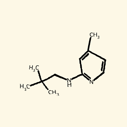 Cc1ccnc(NCC(C)(C)C)c1